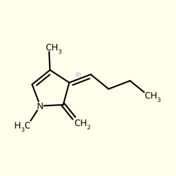 C=c1/c(=C\CCC)c(C)cn1C